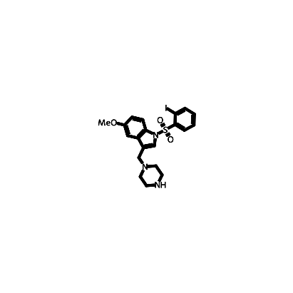 COc1ccc2c(c1)c(CN1CCNCC1)cn2S(=O)(=O)c1ccccc1I